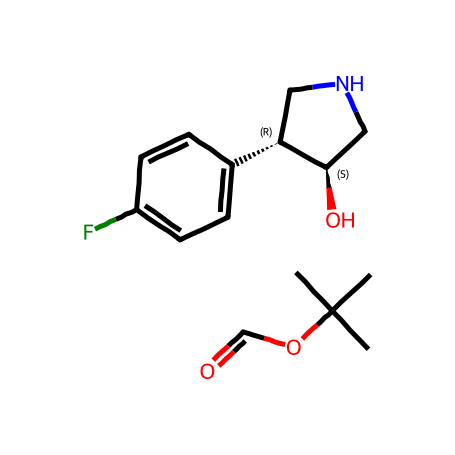 CC(C)(C)OC=O.O[C@@H]1CNC[C@H]1c1ccc(F)cc1